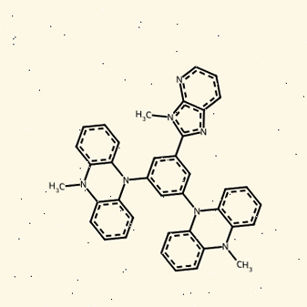 CN1c2ccccc2N(c2cc(-c3nc4cccnc4n3C)cc(N3c4ccccc4N(C)c4ccccc43)c2)c2ccccc21